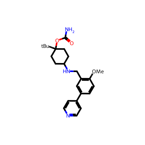 COc1ccc(-c2ccncc2)cc1CNC1CCC(OC(N)=O)(C(C)(C)C)CC1